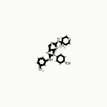 CC1(Nc2ncc3nc(Nc4cccc(C(F)(F)F)c4)n([C@H]4CC[C@@H](C#N)CC4)c3n2)CCOCC1